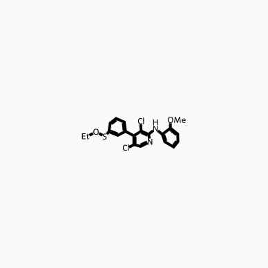 CCOSc1cccc(-c2c(Cl)cnc(Nc3ccccc3OC)c2Cl)c1